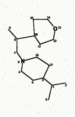 CC(C)C1CCN(CC(C)C2CCOCC2)CC1